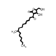 CCCCCCC(C)CCCCCCCC(=O)C1=C(O)C(CO)OC1=O